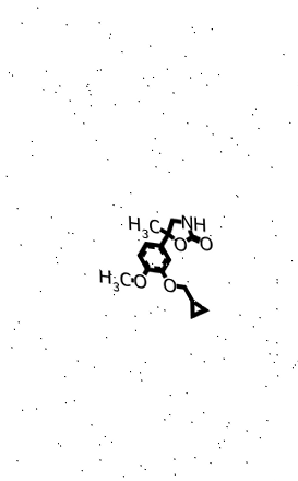 COc1ccc(C2(C)CNC(=O)O2)cc1OCC1CC1